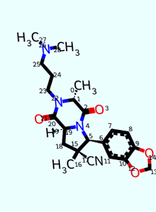 C[C@@H]1C(=O)N2[C@@H](c3ccc4c(c3)OCO4)[C@@](C)(C#N)C[C@H]2C(=O)N1CCCN(C)C